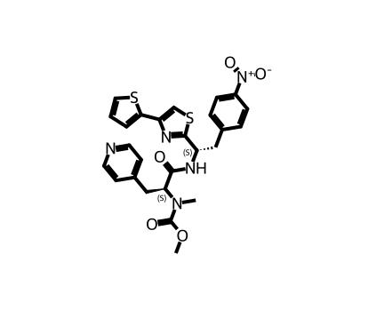 COC(=O)N(C)[C@@H](Cc1ccncc1)C(=O)N[C@@H](Cc1ccc([N+](=O)[O-])cc1)c1nc(-c2cccs2)cs1